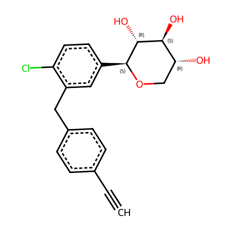 C#Cc1ccc(Cc2cc([C@@H]3OC[C@@H](O)[C@H](O)[C@H]3O)ccc2Cl)cc1